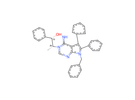 C[C@H]([C@@H](O)c1ccccc1)n1cnc2c(c(-c3ccccc3)c(-c3ccccc3)n2Cc2ccccc2)c1=N